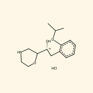 CC(C)Oc1ccccc1C[C@@H](O)C1CNCCO1.Cl